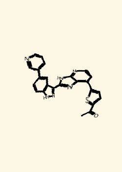 CC(=O)c1ccc(-c2ccnc3[nH]c(-c4n[nH]c5ccc(-c6cccnc6)cc45)nc23)s1